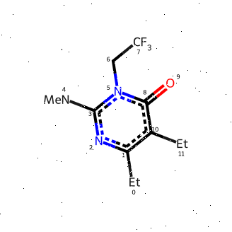 CCc1nc(NC)n(CC(F)(F)F)c(=O)c1CC